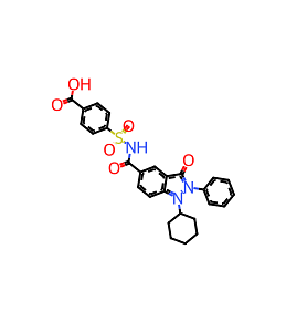 O=C(O)c1ccc(S(=O)(=O)NC(=O)c2ccc3c(c2)c(=O)n(-c2ccccc2)n3C2CCCCC2)cc1